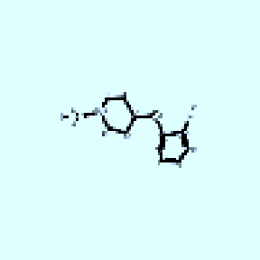 CN1CCC(Sc2ccccc2F)CC1